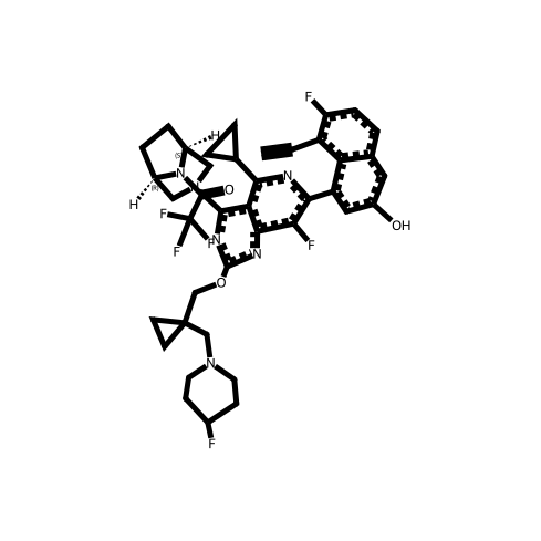 C#Cc1c(F)ccc2cc(O)cc(-c3nc(C4CC4)c4c(N5C[C@H]6CC[C@@H](C5)N6C(=O)C(F)(F)F)nc(OCC5(CN6CCC(F)CC6)CC5)nc4c3F)c12